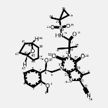 COc1ccccc1[C@H](Cn1c(=O)n(C(C)(C)C(=O)NS(=O)(=O)C2(C)CC2)c(=O)c2c(C)c(C#N)sc21)O[C@H]1C[C@H]2CC[C@@H](C1)O2